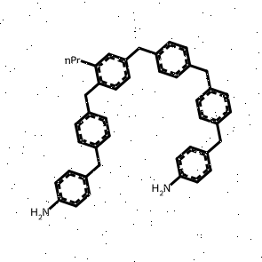 CCCc1cc(Cc2ccc(Cc3ccc(Cc4ccc(N)cc4)cc3)cc2)ccc1Cc1ccc(Cc2ccc(N)cc2)cc1